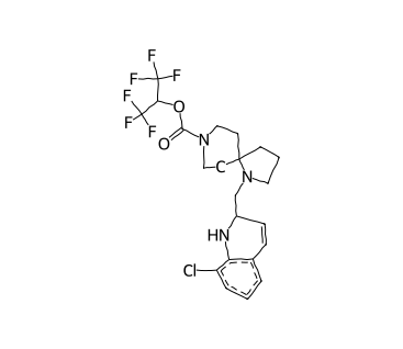 O=C(OC(C(F)(F)F)C(F)(F)F)N1CCC2(CCCN2CC2C=Cc3cccc(Cl)c3N2)CC1